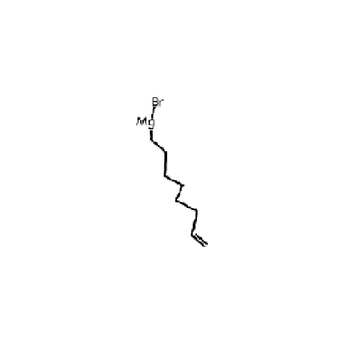 C=CCCCCC[CH2][Mg][Br]